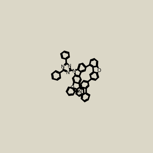 c1ccc(-c2nc(-c3ccccc3)nc(-n3c4ccc(-c5cccc6oc7ccc(-c8ccc9c(c8)c8ccccc8n9-c8ccccc8)cc7c56)cc4c4cc5c(cc43)oc3ccccc35)n2)cc1